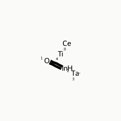 [Ce].[O]=[InH].[Ta].[Ti]